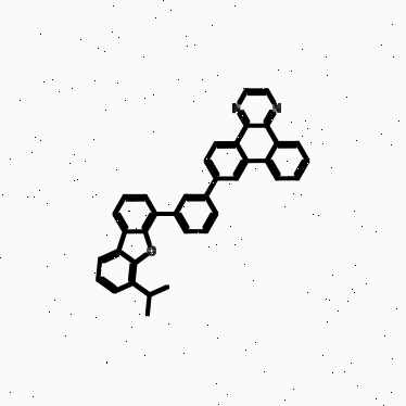 CC(C)c1cccc2c1oc1c(-c3cccc(-c4ccc5c(c4)c4ccccc4c4nccnc54)c3)cccc12